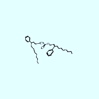 CCCCCCCCC(CCOC(=O)OCCC(CCCCCCCC)c1ccccc1)c1ccccc1